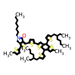 CCCCCCCCN1Cc2c(-c3ccc(C)s3)sc(-c3ccc(-c4cc5c(-c6ccc(CC(CC)CCCC)s6)c6sc(C)cc6c(-c6ccc(CC(CC)CCCC)s6)c5s4)s3)c2C1=O